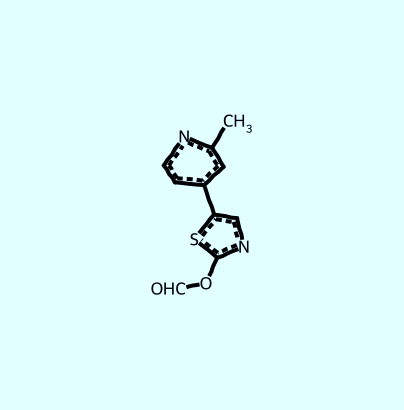 Cc1cc(-c2cnc(OC=O)s2)ccn1